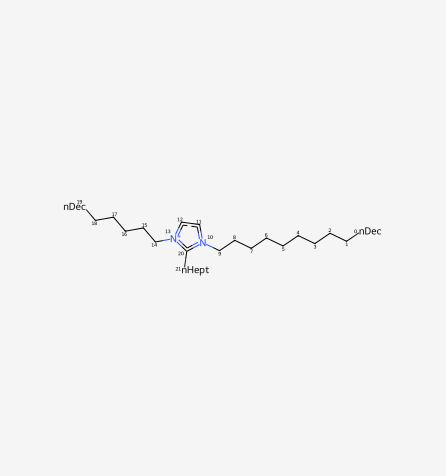 CCCCCCCCCCCCCCCCCCCn1cc[n+](CCCCCCCCCCCCCCC)c1CCCCCCC